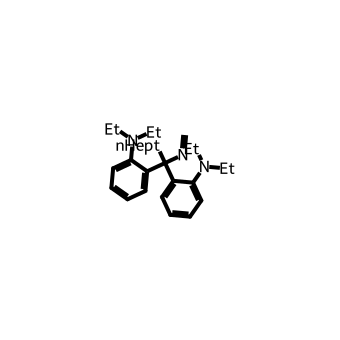 C=NC(CCCCCCC)(c1ccccc1N(CC)CC)c1ccccc1N(CC)CC